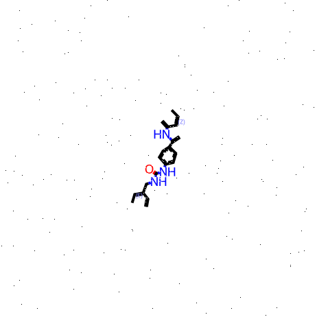 C=C/C(=C\C)CNC(=O)Nc1ccc(C(=C)NC(=C)/C=C\C)cc1